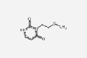 CSCCn1c(=O)cc[nH]c1=O